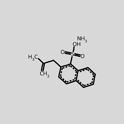 C=C(C)Cc1ccc2ccccc2c1S(=O)(=O)O.N